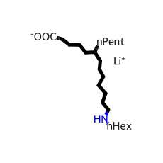 CCCCCCNCCCCCCCC(CCCCC)CCCCC(=O)[O-].[Li+]